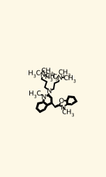 CN1/C(=C/c2cc(N(CCC[N+](C)(C)C)CCC[N+](C)(C)C)[n+](C)c3ccccc23)Oc2ccccc21